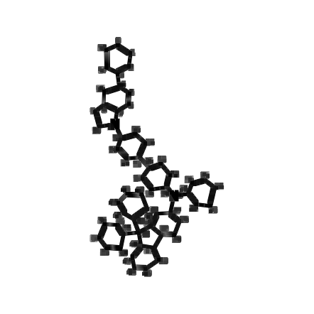 c1ccc(-c2ccc3c(ccn3-c3ccc(-c4ccc(N(c5ccccc5)c5ccc6c(c5)C(c5ccccc5)(c5ccccc5)c5ccccc5-6)cc4)cc3)c2)cc1